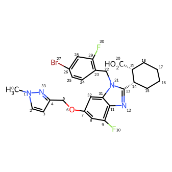 Cn1ccc(COc2cc(F)c3nc([C@H]4CCCC[C@H]4C(=O)O)n(Cc4ccc(Br)cc4F)c3c2)n1